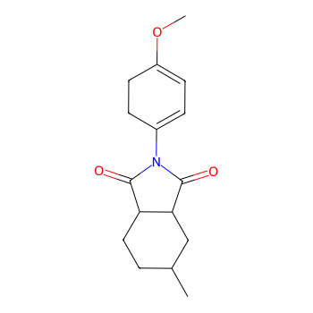 COC1=CC=C(N2C(=O)C3CCC(C)CC3C2=O)CC1